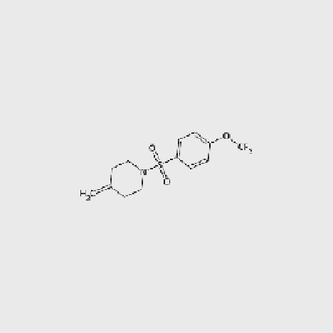 C=C1CCN(S(=O)(=O)c2ccc(OC(F)(F)F)cc2)CC1